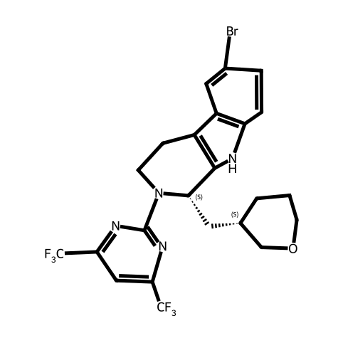 FC(F)(F)c1cc(C(F)(F)F)nc(N2CCc3c([nH]c4ccc(Br)cc34)[C@@H]2C[C@@H]2CCCOC2)n1